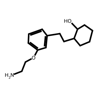 NCCOc1cccc(CCC2CCCCC2O)c1